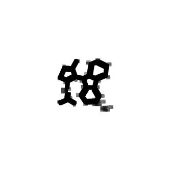 CC1=CC[C]([Hf]=[C](C)C)=C1C1c2ccccc2-c2ccccc21.Cl.Cl